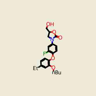 CCCCOc1cc(CC)ccc1Oc1ccc(N2CC(CO)OC2=O)cc1F